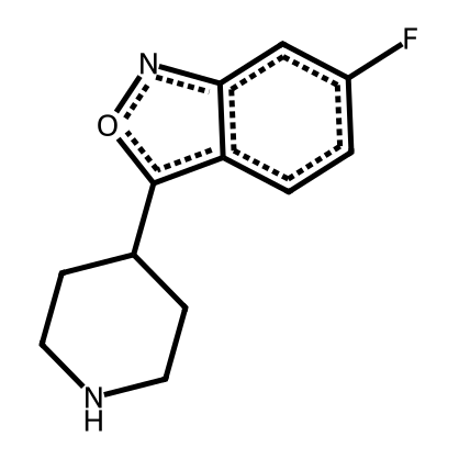 Fc1ccc2c(C3CCNCC3)onc2c1